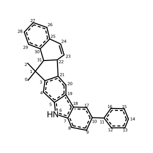 CC1(C)c2cc3[nH]c4ccc(-c5ccccc5)cc4c3cc2C2C=Cc3ccccc3C21